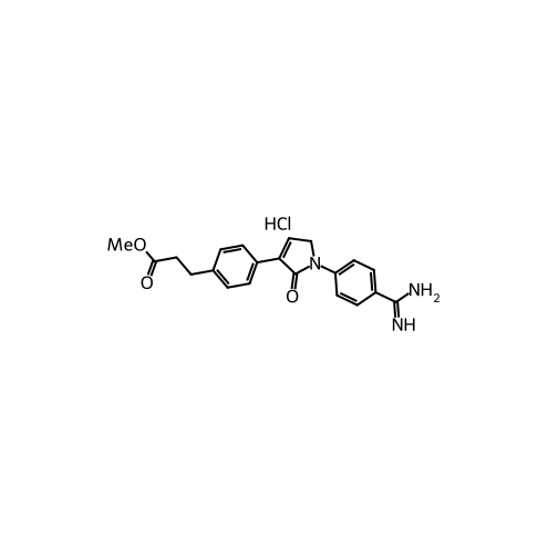 COC(=O)CCc1ccc(C2=CCN(c3ccc(C(=N)N)cc3)C2=O)cc1.Cl